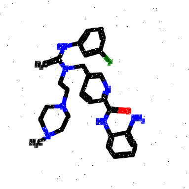 C=C(Nc1cccc(F)c1)N(CCN1CCN(C)CC1)Cc1ccc(C(=O)Nc2ccccc2N)nc1